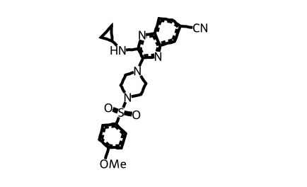 COc1ccc(S(=O)(=O)N2CCN(c3nc4cc(C#N)ccc4nc3NC3CC3)CC2)cc1